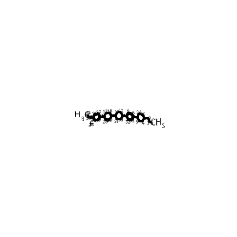 CCCC1CCC(c2ccc(C3CCC(C4CCC(c5ccc(CC)c(F)c5)CC4)CC3)cc2)CC1